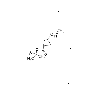 C=NOC1CN(C(=O)OC(C)(C)C)C1